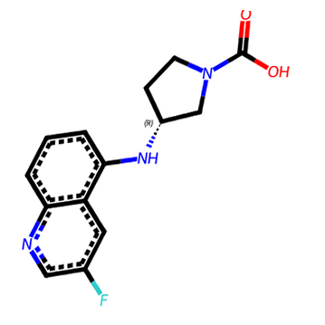 O=C(O)N1CC[C@@H](Nc2cccc3ncc(F)cc23)C1